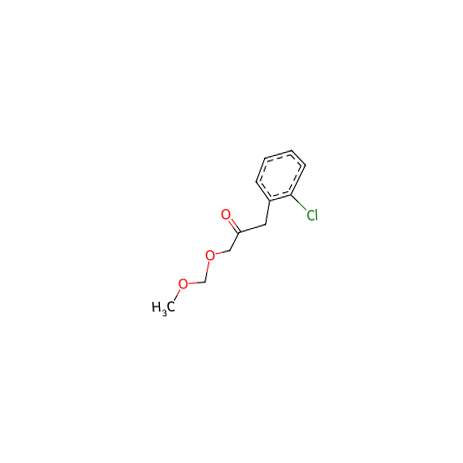 COCOCC(=O)Cc1ccccc1Cl